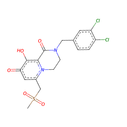 CS(=O)(=O)Cc1cc(=O)c(O)c2n1CCN(Cc1ccc(Cl)c(Cl)c1)C2=O